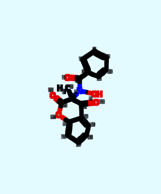 CC1(N(O)C(=O)c2ccccc2)C(=O)Oc2ccccc2C1=O